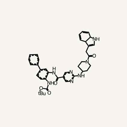 CC(C)(C)OC(=O)Nc1ccc(-c2ccccc2)cc1NC(=O)c1cnc(NC2CCN(C(=O)CC3=CNC4C=CC=CC34)CC2)nc1